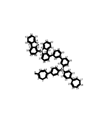 CC1=CCC=C(c2ccc(N(c3ccc(C4=CCC=CC=C4)cc3)c3cccc(-c4cccc(-c5cccc6c5c5ccccc5n6-c5cccc6c5sc5ccccc56)c4)c3)cc2)C=C1